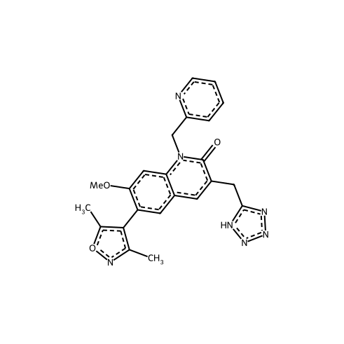 COc1cc2c(cc1-c1c(C)noc1C)cc(Cc1nnn[nH]1)c(=O)n2Cc1ccccn1